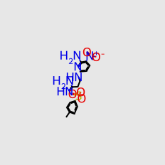 Cc1ccc(S(=O)(=O)OC(CNc2ccc([N+](=O)[O-])c(N)n2)C(=N)N)cc1